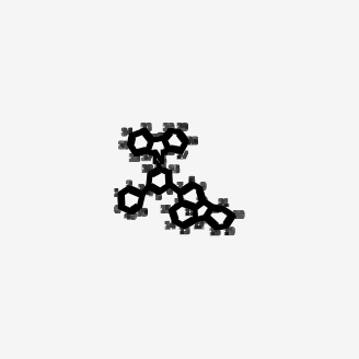 c1ccc(-c2cc(-c3ccc4c5c(cccc35)-c3ccccc3-4)cc(-n3c4ccccc4c4ccccc43)c2)cc1